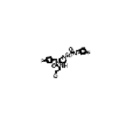 CSCCC1NC2(CCN(SOC(=O)NCc3ccc(F)cc3)CC2)N(Cc2ccc(F)cc2)C1=O